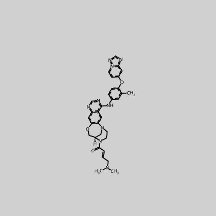 Cc1cc(Nc2ncnc3cc4c(cc23)N2CCN(C(=O)/C=C/CN(C)C)[C@H](CO4)C2)ccc1Oc1ccn2ncnc2c1